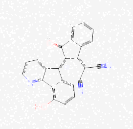 N#CC(C#N)=C1/C(=C2/c3cccnc3-c3c(O)cccc32)C(=O)c2ccccc21